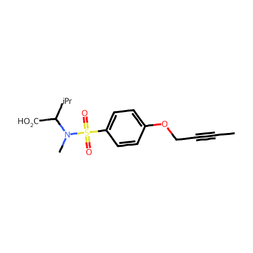 CC#CCOc1ccc(S(=O)(=O)N(C)C(C(=O)O)C(C)C)cc1